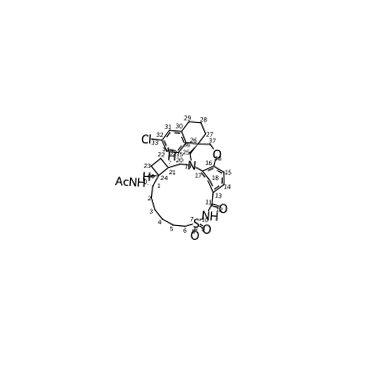 CC(=O)N[C@H]1CCCCCS(=O)(=O)NC(=O)c2ccc3c(c2)N(C[C@@H]2CC[C@H]21)C[C@@]1(CCCc2cc(Cl)ccc21)CO3